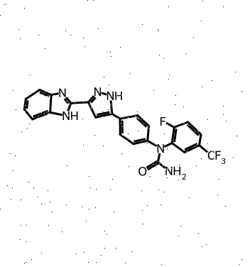 NC(=O)N(c1ccc(-c2cc(-c3nc4ccccc4[nH]3)n[nH]2)cc1)c1cc(C(F)(F)F)ccc1F